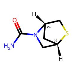 NC(=O)N1C[C@@H]2C[C@H]1CS2